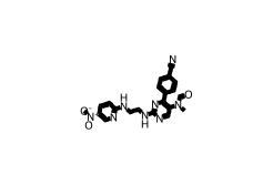 CN(C=O)c1cnc(NCCNc2ccc([N+](=O)[O-])cn2)nc1-c1ccc(C#N)cc1